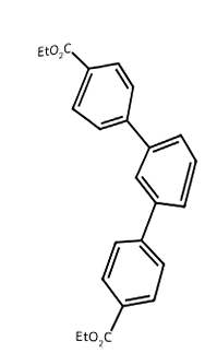 CCOC(=O)c1ccc(-c2cccc(-c3ccc(C(=O)OCC)cc3)c2)cc1